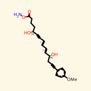 COc1ccc(C#CC[C@@H](O)/C=C/C=C/C#C[C@@H](O)CCCC(=O)ON)cc1